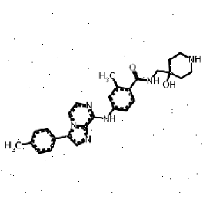 Cc1ccc(-c2cnc3c(Nc4ccc(C(=O)NCC5(O)CCNCC5)c(C)c4)nccn23)cc1